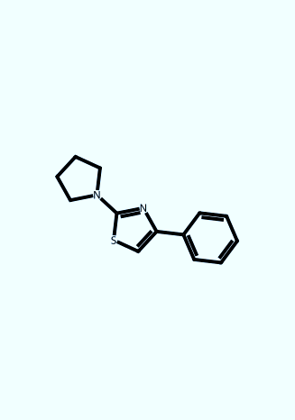 c1ccc(-c2csc(N3CCCC3)n2)cc1